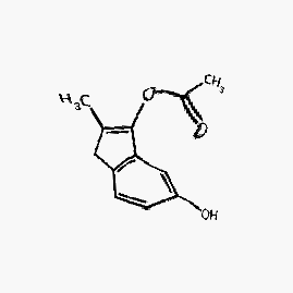 CC(=O)OC1=C(C)Cc2ccc(O)cc21